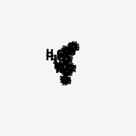 CC1(C)c2cc(N3c4cncnc4-c4cc(-c5ccccc5)cc5cccc3c45)ccc2-c2c1ccc1c2oc2ccccc21